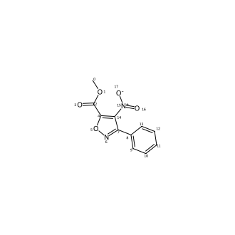 COC(=O)c1onc(-c2ccccc2)c1[N+](=O)[O-]